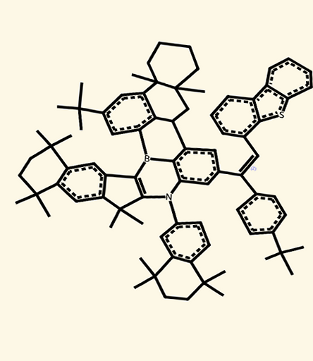 CC(C)(C)c1ccc(/C(=C/c2cccc3c2sc2ccccc23)c2cc3c4c(c2)N(c2ccc5c(c2)C(C)(C)CCC5(C)C)C2=C(B4c4cc(C(C)(C)C)cc5c4C3CC3(C)CCCCC53C)c3cc4c(cc3C2(C)C)C(C)(C)CCC4(C)C)cc1